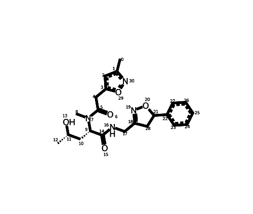 Cc1cc(CC(=O)N(C)[C@@H](C[C@H](C)O)C(=O)NCC2=NOC(c3ccccc3)C2)on1